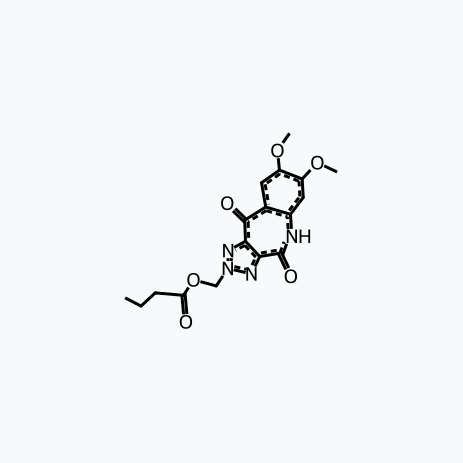 CCCC(=O)OCn1nc2c(=O)[nH]c3cc(OC)c(OC)cc3c(=O)c2n1